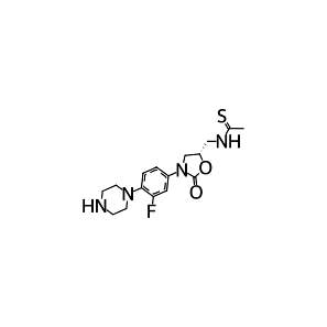 CC(=S)NC[C@H]1CN(c2ccc(N3CCNCC3)c(F)c2)C(=O)O1